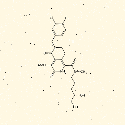 COc1c2c(c(C(=O)N(C)CCC[C@H](O)CO)[nH]c1=O)CCN(Cc1ccc(F)c(Cl)c1)C2=O